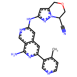 Cc1ccncc1-c1cc2cc(Nc3cc4n(n3)C(C#N)COC4)ncc2c(N)n1